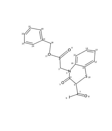 O=C(CN1C(=O)C(C(=O)I)Sc2ccccc21)OCc1ccccc1